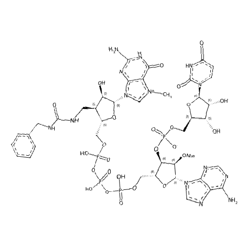 CO[C@@H]1[C@H](OP(=O)([O-])OC[C@H]2O[C@@H](n3ccc(=O)[nH]c3=O)[C@H](O)[C@@H]2O)[C@@H](COP(=O)(O)OP(=O)(O)OP(=O)(O)OC[C@H]2O[C@@H](n3c[n+](C)c4c(=O)[nH]c(N)nc43)[C@H](O)[C@@H]2CNC(=O)NCc2ccccc2)O[C@H]1n1cnc2c(N)ncnc21